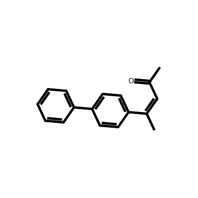 CC(=O)/C=C(/C)c1ccc(-c2ccccc2)cc1